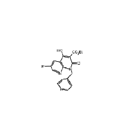 CCOC(=O)c1c(O)c2cc(Br)cnc2n(Cc2ccncc2)c1=O